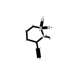 C#CC1CCCS(=O)(=O)N1C